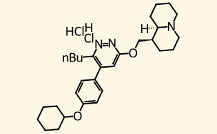 CCCCc1nnc(OC[C@@H]2CCCN3CCCC[C@H]23)cc1-c1ccc(OC2CCCCC2)cc1.Cl.Cl